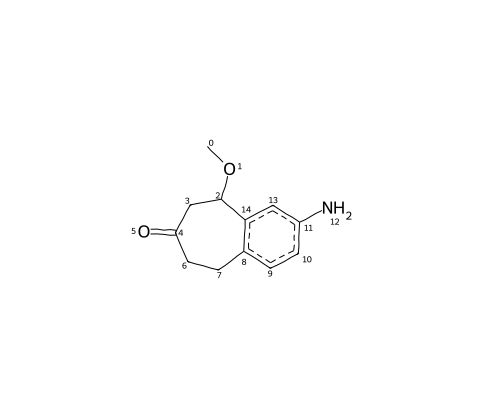 COC1CC(=O)CCc2ccc(N)cc21